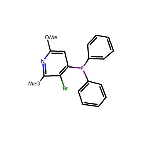 COc1cc(P(c2ccccc2)c2ccccc2)c(Br)c(OC)n1